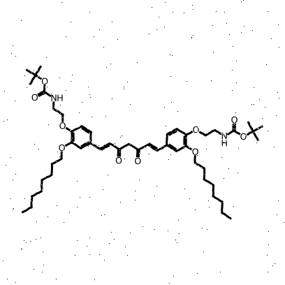 CCCCCCCCOc1cc(C=CC(=O)CC(=O)C=Cc2ccc(OCCNC(=O)OC(C)(C)C)c(OCCCCCCCC)c2)ccc1OCCNC(=O)OC(C)(C)C